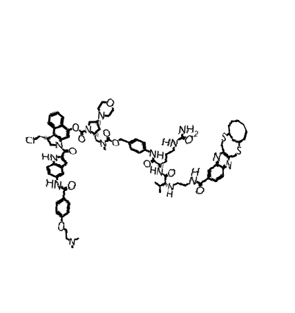 CC(C)[C@@H](NCCNC(=O)c1ccc2nc3c(nc2c1)CSC1CCCCCCC(C1)SC3)C(=O)N[C@H](CCCNC(N)=O)C(=O)Nc1ccc(COC(=O)N(C)C[C@@H]2C[C@@H](N3CCOCC3)CN2C(=O)Oc2cc3c(c4ccccc24)[C@H](CCl)CN3C(=O)c2cc3cc(NC(=O)c4ccc(OCCN(C)C)cc4)ccc3[nH]2)cc1